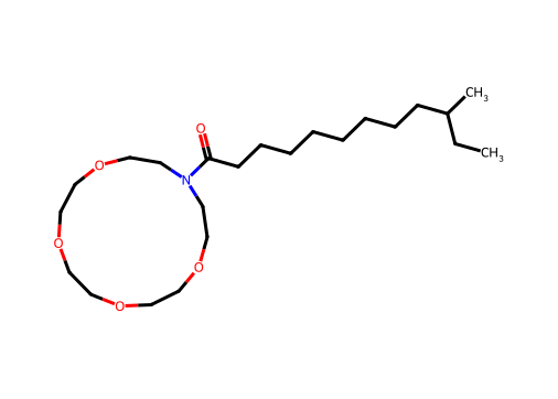 CCC(C)CCCCCCCCC(=O)N1CCOCCOCCOCCOCC1